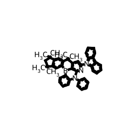 CC1(C)CC(C)(C)c2cc3c(cc21)B1c2ccccc2N(c2ccccc2)c2nc(-n4c5ccccc5c5ccccc54)cc(c21)C3(C)C